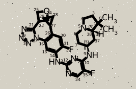 CC1(C)CCN2CC[C@H](Nc3nc(Nc4cc(-n5nnnc5C5COC5)c(C5CC5)cc4F)ncc3F)C[C@H]21